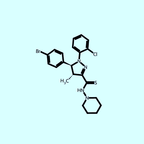 C[C@H]1C(C(=S)NN2CCCCC2)=NN(c2ccccc2Cl)[C@@H]1c1ccc(Br)cc1